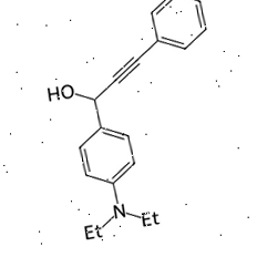 CCN(CC)c1ccc(C(O)C#Cc2ccccc2)cc1